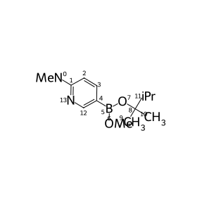 CNc1ccc(B(OC)OC(C)(C)C(C)C)cn1